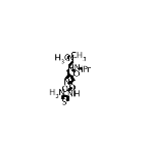 CC(C)NC(=O)N(CCN(C)C)Cc1ccc(OC(=O)Nc2cscc2N)nc1